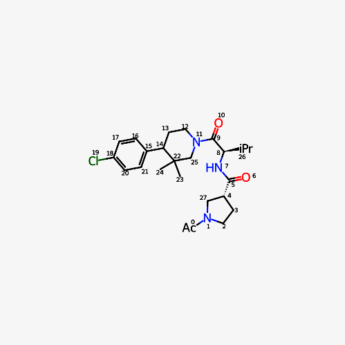 CC(=O)N1CC[C@@H](C(=O)N[C@@H](C(=O)N2CCC(c3ccc(Cl)cc3)C(C)(C)C2)C(C)C)C1